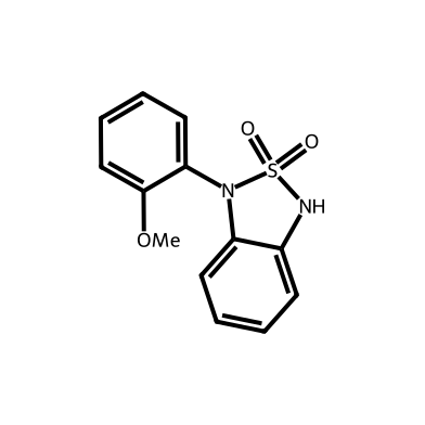 COc1ccccc1N1c2ccccc2NS1(=O)=O